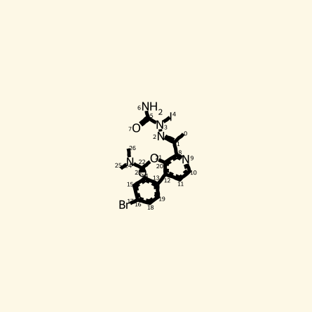 CC(=NN(I)C(N)=O)c1nccc(-c2ccc(Br)cc2)c1OC(=O)N(C)C